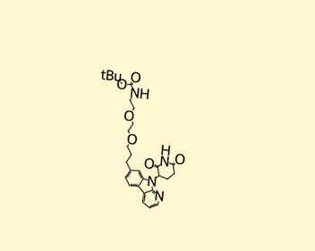 CC(C)(C)OC(=O)NCCOCCOCCCc1ccc2c3cccnc3n(C3CCC(=O)NC3=O)c2c1